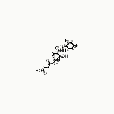 O=C(O)CCC(=O)Nc1ncc(C(=O)NCc2ccc(F)cc2F)c(O)n1